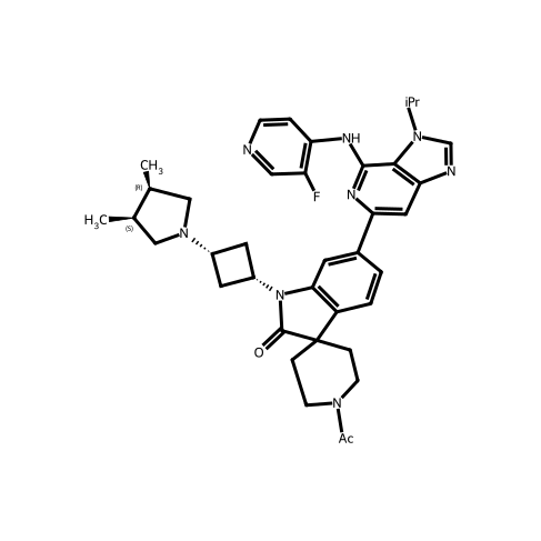 CC(=O)N1CCC2(CC1)C(=O)N([C@H]1C[C@@H](N3C[C@@H](C)[C@@H](C)C3)C1)c1cc(-c3cc4ncn(C(C)C)c4c(Nc4ccncc4F)n3)ccc12